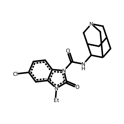 CCn1c(=O)n(C(=O)NC2C3CC4CC2CN(C4)C3)c2ccc(Cl)cc21